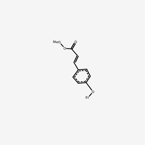 CCOc1ccc(C=CC(=O)OOC)cc1